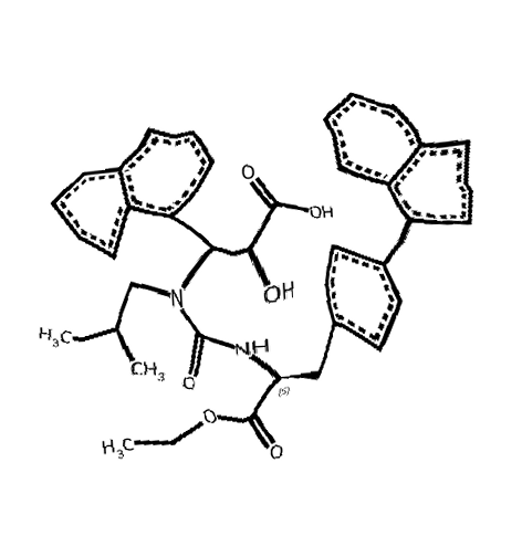 CCOC(=O)[C@H](Cc1ccc(-c2cccc3ccccc23)cc1)NC(=O)N(CC(C)C)C(c1cccc2ccccc12)C(O)C(=O)O